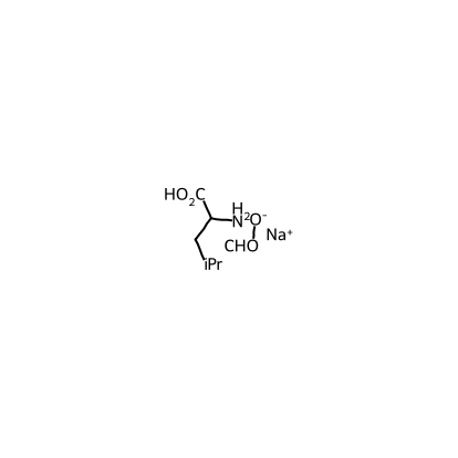 CC(C)CC(N)C(=O)O.O=C[O-].[Na+]